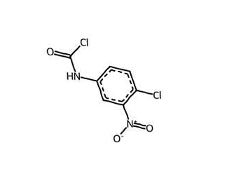 O=C(Cl)Nc1ccc(Cl)c([N+](=O)[O-])c1